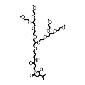 COCCOCC(COCCOCC(COCCCNC(=O)CCN1C(=O)CC(C(C)C)C1=O)OCCOCC(COCCOC)OCCOC)OCCOC